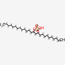 CCCCCCCCCCCCCC(CCCCCCCCCCCC)OS(=O)(=O)O